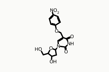 O=c1[nH]c(=O)n(C2CC(O)C(CO)O2)cc1COc1ccc([N+](=O)[O-])cc1